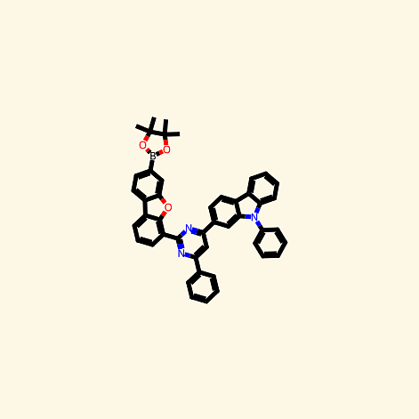 CC1(C)OB(c2ccc3c(c2)oc2c(-c4nc(-c5ccccc5)cc(-c5ccc6c7ccccc7n(-c7ccccc7)c6c5)n4)cccc23)OC1(C)C